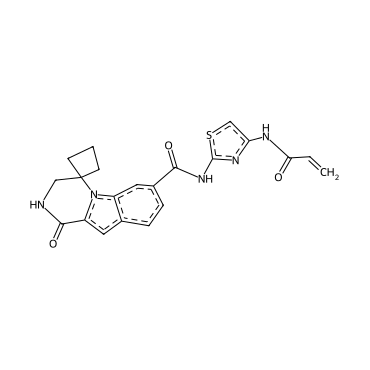 C=CC(=O)Nc1csc(NC(=O)c2ccc3cc4n(c3c2)C2(CCC2)CNC4=O)n1